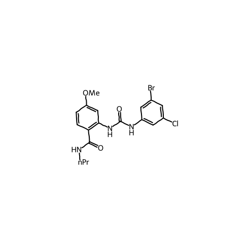 CCCNC(=O)c1ccc(OC)cc1NC(=O)Nc1cc(Cl)cc(Br)c1